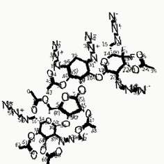 CC(=O)OC[C@H]1O[C@@H](O[C@H]2[C@H](O[C@H]3O[C@H](CN=[N+]=[N-])C(F)(F)[C@H](OC(C)=O)C3N=[N+]=[N-])C(N=[N+]=[N-])CC(N=[N+]=[N-])[C@@H]2OC(C)=O)[C@H](OC(C)=O)[C@@H]1O[C@H]1O[C@@H](CN=[N+]=[N-])[C@@H](OC(C)=O)[C@H](OC(C)=O)C1N=[N+]=[N-]